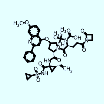 C=C[C@@H]1C[C@]1(NC(=O)[C@@H]1CC(Oc2cc(-c3ccccc3)nc3cc(OC)ccc23)CN1C(=O)[C@H](CCC(=O)N1CCC1=O)N(C(=O)O)C(C)(C)C)C(=O)NS(=O)(=O)C1CC1